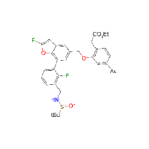 CCOC(=O)Cc1ccc(C(C)=O)cc1OCc1cc(-c2cccc(CN[S+]([O-])C(C)(C)C)c2F)c2oc(F)cc2c1